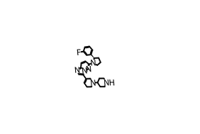 Fc1cccc([C@H]2CCCN2c2ccc3ncc(C4=CCCN(C5CCNCC5)C4)n3n2)c1